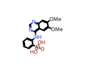 COc1cc2ncnc(Nc3ccccc3[As](=O)(O)O)c2cc1OC